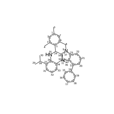 Cc1cc(C)c2c(c1)Cn1c(nc3c(-c4ccccc4)cccc31)C2Nc1c(C(C)C)cccc1C(C)C